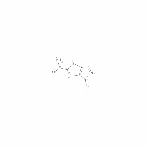 CCn1ncc2sc(C(N)Cl)cc21